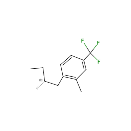 CC[C@@H](C)Cc1ccc(C(F)(F)F)cc1C